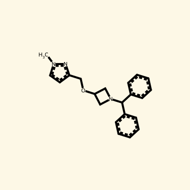 Cn1ccc(COC2CN(C(c3ccccc3)c3ccccc3)C2)n1